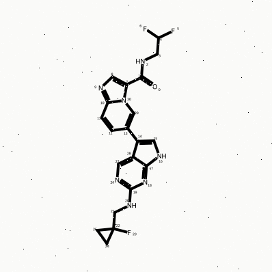 O=C(NCC(F)F)c1cnc2ccc(-c3c[nH]c4nc(NCC5(F)CC5)ncc34)cn12